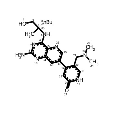 CCCC[C@](C)(CO)Nc1nc(N)nc2cc(-c3cc(=O)[nH]cc3CN(C)C)cnc12